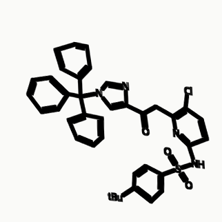 CC(C)(C)c1ccc(S(=O)(=O)Nc2ccc(Cl)c(CC(=O)c3cn(C(c4ccccc4)(c4ccccc4)c4ccccc4)cn3)n2)cc1